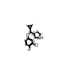 Fc1ccc(O[C@@H](C2CC2)[C@H]2CCNC2)cc1Cl